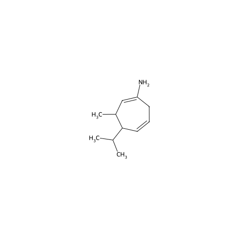 CC(C)C1C=CCC(N)=CC1C